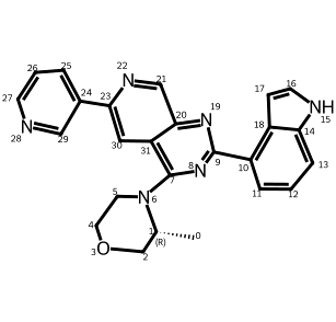 C[C@@H]1COCCN1c1nc(-c2cccc3[nH]ccc23)nc2cnc(-c3cccnc3)cc12